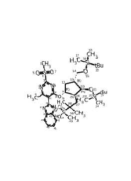 Cc1nc(S(C)(=O)=O)nc(O[C@@H]2C[C@H](CO[Si](C)(C)C(C)(C)C)[C@@H](O[Si](C)(C)C(C)(C)C)[C@H]2CC(C)(C)[Si](C)(C)O)c1-c1nc2ccccc2s1